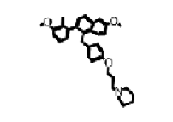 COc1ccc2c(Cc3ccc(OCCCN4CCCCC4)cc3)c(-c3cccc(OC)c3C)ccc2c1